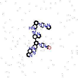 CN(C[C@@H]1Cc2c(cc(C3CC[C@H](N(C)C[C@H]4Cc5c(cccc5N5CCN(c6ccccn6)CC5)CN4)c4ncccc43)cc2N2CCN(C3COC3)CC2)CN1)[C@H]1CCCc2cccnc21